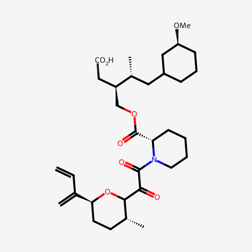 C=CC(=C)[C@@H]1CC[C@@H](C)C(C(=O)C(=O)N2CCCC[C@H]2C(=O)OC[C@@H](CC(=O)O)[C@H](C)CC2CCC[C@H](OC)C2)O1